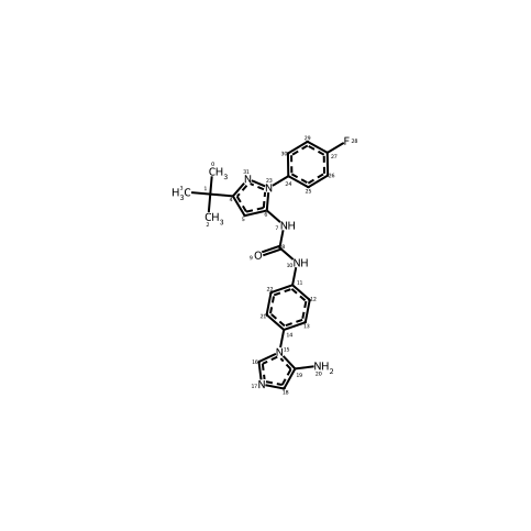 CC(C)(C)c1cc(NC(=O)Nc2ccc(-n3cncc3N)cc2)n(-c2ccc(F)cc2)n1